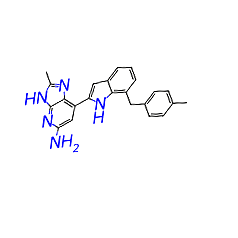 Cc1ccc(Cc2cccc3cc(-c4cc(N)nc5[nH]c(C)nc45)[nH]c23)cc1